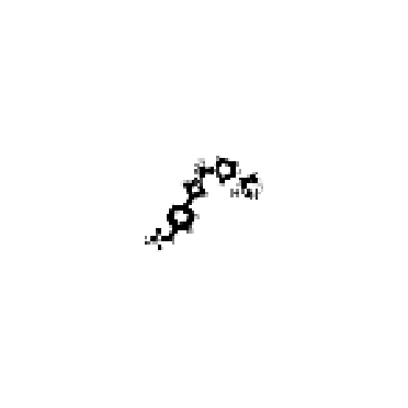 CP(C)(=O)Cc1ccc(C2CN(C(=O)N3CC[C@H](c4cnn[nH]4)C3)C2)cc1